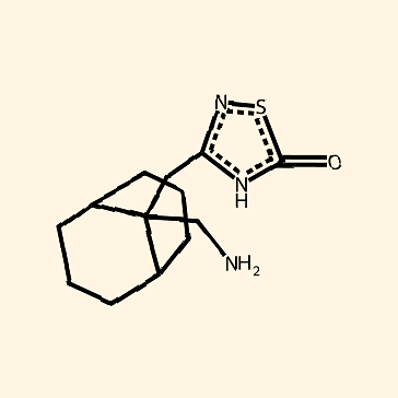 NCC1(Cc2nsc(=O)[nH]2)C2CCCC1CCC2